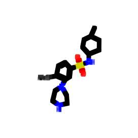 COc1ccc(S(=O)(=O)NC2CCC(C)CC2)cc1N1CCNCC1